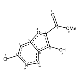 COC(=O)c1oc2cc(Cl)nnc2c1O